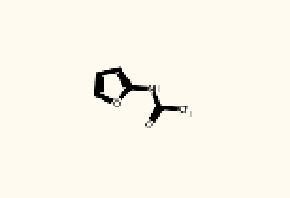 O=C(Nc1ccco1)C(F)(F)F